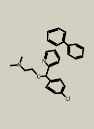 CN(C)CCOC(c1ccc(Cl)cc1)c1ccccn1.c1ccc(-c2ccccc2)cc1